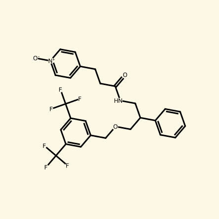 O=C(CCc1cc[n+]([O-])cc1)NCC(COCc1cc(C(F)(F)F)cc(C(F)(F)F)c1)c1ccccc1